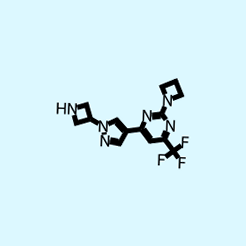 FC(F)(F)c1cc(-c2cnn(C3CNC3)c2)nc(N2CCC2)n1